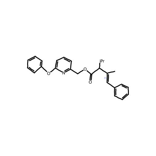 C/C(=C\c1ccccc1)C(C(=O)OCc1cccc(Oc2ccccc2)n1)C(C)C